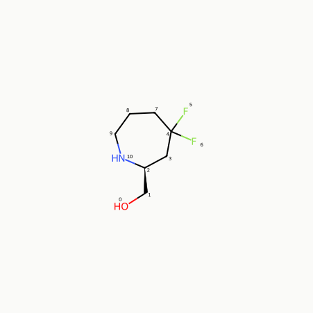 OC[C@@H]1CC(F)(F)CCCN1